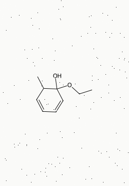 CCOC1(O)C=CC=CC1C